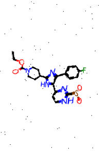 CCOC(=O)N1CCC(c2nc(-c3ccc(F)cc3)c(-c3cc[nH]c(=S(=O)=O)n3)[nH]2)CC1